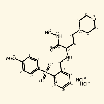 COc1ccc(S(=O)(=O)c2ncccc2CNC(CCN2CCOCC2)C(=O)NO)cc1.Cl.Cl